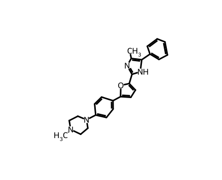 Cc1nc(-c2ccc(-c3ccc(N4CCN(C)CC4)cc3)o2)[nH]c1-c1ccccc1